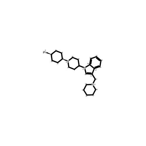 CC(C)[C@H]1CC[C@@H](N2CCC(n3cc(CN4CCCCC4)c4ccccc43)CC2)CC1